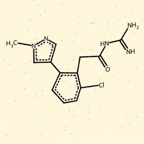 Cn1cc(-c2cccc(Cl)c2CC(=O)NC(=N)N)cn1